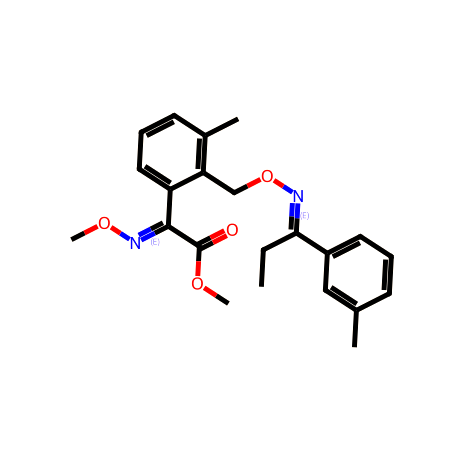 CC/C(=N\OCc1c(C)cccc1/C(=N\OC)C(=O)OC)c1cccc(C)c1